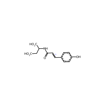 O=C(O)CC(NC(=O)/C=C/c1ccc(O)cc1)C(=O)O